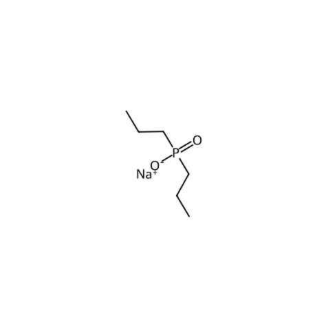 CCCP(=O)([O-])CCC.[Na+]